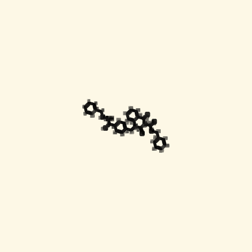 O=C(NOCc1ccccc1)c1ccc(Cn2c(=O)n(C(=O)OCc3ccccc3)c(=O)c3ccccc32)cc1